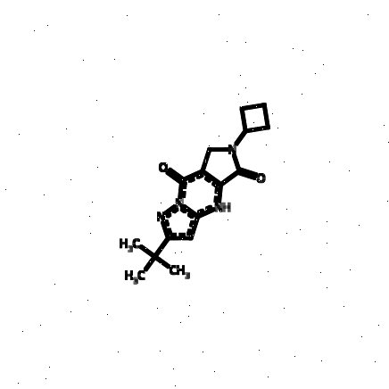 CC(C)(C)c1cc2[nH]c3c(c(=O)n2n1)CN(C1CCC1)C3=O